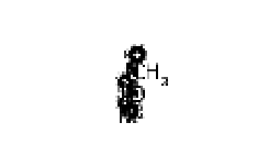 CN(Cc1ccccc1)[C@H]1CCCN(C(=O)N2CCc3ncccc32)C1